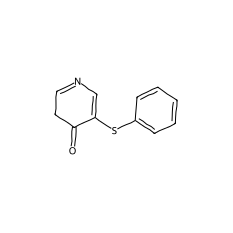 O=C1CC=NC=C1Sc1ccccc1